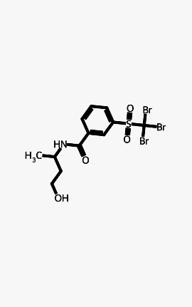 CC(CCO)NC(=O)c1cccc(S(=O)(=O)C(Br)(Br)Br)c1